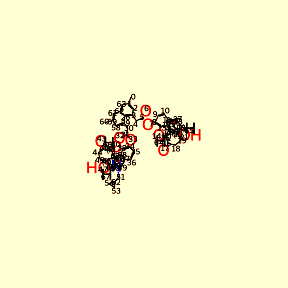 Cc1cc(CC(=O)Oc2ccc3c4c2O[C@H]2C(=O)CC[C@@]5(O)[C@H](CCC[C@]425)C3)c2c(CC(=O)Oc3ccc4c5c3O[C@H]3C(=O)CC[C@@]6(O)[C@@H](C4)N(CC4CC4)CC[C@]536)cc(C)cc2c1